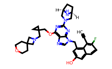 C#Cc1c(F)ccc2cc(O)cc(Cn3cnc4c(OCC5(CN6CC7(CCOCC7)C6)CC5)nc(N5C[C@H]6CC[C@@H](C5)N6)nc43)c12